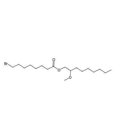 CCCCCCCC(COC(=O)CCCCCCCBr)OC